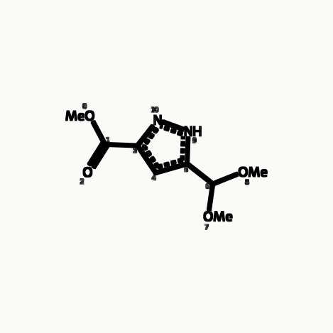 COC(=O)c1cc(C(OC)OC)[nH]n1